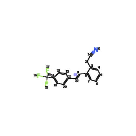 N#CCc1ccccc1/C=C/c1ccc(C(F)(F)F)cc1